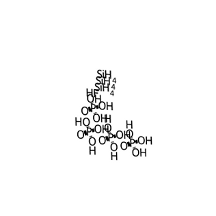 F.O=P(O)(O)O.O=P(O)(O)O.O=P(O)(O)O.O=P(O)(O)O.[SiH4].[SiH4].[SiH4]